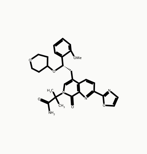 COc1ccccc1[C@H](Cc1cn(C(C)(C)C(N)=O)c(=O)c2nc(-c3ncco3)ccc12)OC1CCOCC1